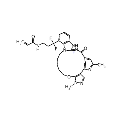 C=CC(=O)NCCC(F)(F)c1cccc2c1N1CCCCCOc3c(cnn3C)-c3cc(cc(C)n3)C(=O)/N=C/1N2